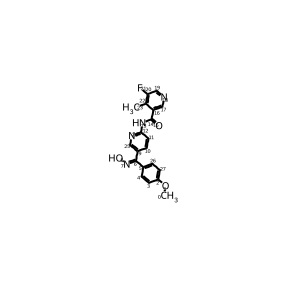 COc1ccc(/C(=N/O)c2ccc(NC(=O)c3cncc(F)c3C)nc2)cc1